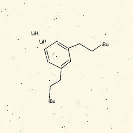 CCC(C)CCc1cccc(CCC(C)CC)c1.[LiH].[LiH]